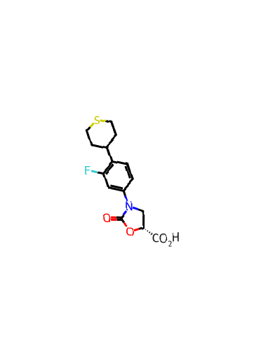 O=C(O)[C@H]1CN(c2ccc(C3CCSCC3)c(F)c2)C(=O)O1